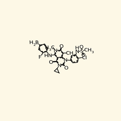 Bc1ccc(Nc2c3c(=O)n(C4CC4)c(=O)n(-c4ccc(Cl)c(NS(C)(=O)=O)c4)c3c(C)c(=O)n2C)c(F)c1